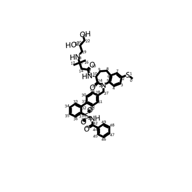 CSc1ccc2c(c1)CC[C@@H](NC(=O)CC(C)(C)NC[C@H](O)CO)C(=O)N2Cc1ccc(-c2ccccc2S(=O)(=O)NC(=O)c2ccccc2)cc1